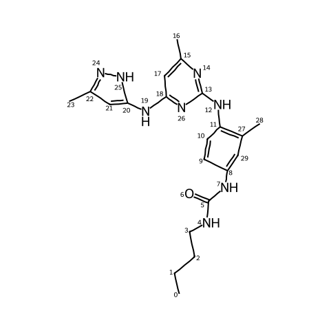 CCCCNC(=O)Nc1ccc(Nc2nc(C)cc(Nc3cc(C)n[nH]3)n2)c(C)c1